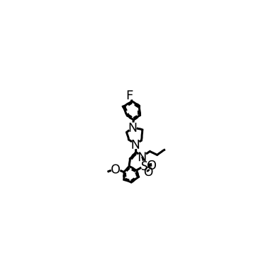 CCCN1C(N2CCN(c3ccc(F)cc3)CC2)=Cc2c(OC)cccc2S1(=O)=O